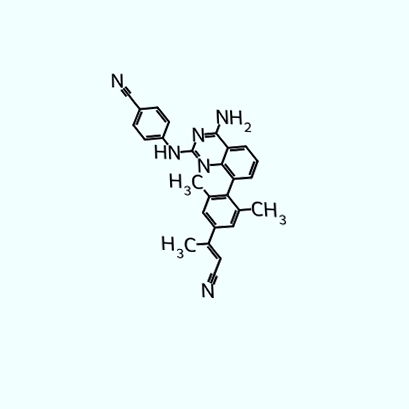 CC(=CC#N)c1cc(C)c(-c2cccc3c(N)nc(Nc4ccc(C#N)cc4)nc23)c(C)c1